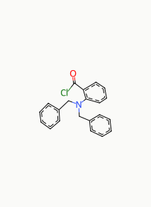 O=C(Cl)c1ccccc1N(Cc1ccccc1)Cc1ccccc1